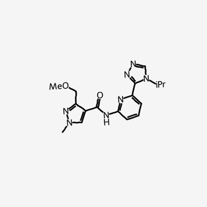 COCc1nn(C)cc1C(=O)Nc1cccc(-c2nncn2C(C)C)n1